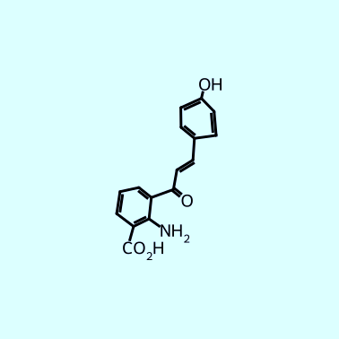 Nc1c(C(=O)O)cccc1C(=O)C=Cc1ccc(O)cc1